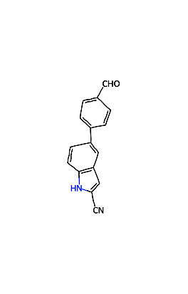 N#Cc1cc2cc(-c3ccc(C=O)cc3)ccc2[nH]1